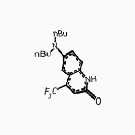 CCCCN(CCCC)c1ccc2[nH]c(=O)cc(C(F)(F)F)c2c1